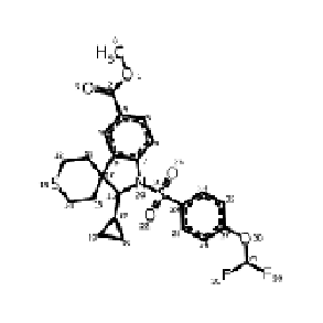 COC(=O)c1ccc2c(c1)C1(CCSCC1)C(C1CC1)N2S(=O)(=O)c1ccc(OC(F)F)cc1